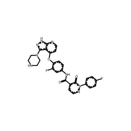 O=C(Nc1ccc(Oc2ccnc3[nH]nc(N4CCNCC4)c23)c(F)c1)c1ccnn(-c2ccc(F)cc2)c1=O